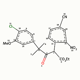 CCOC(=O)C(C(=O)C(C)(C)c1ccc(Cl)c(OC)c1)c1ccc(C#N)cc1[N+](=O)[O-]